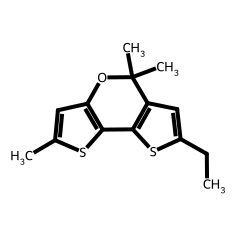 CCc1cc2c(s1)-c1sc(C)cc1OC2(C)C